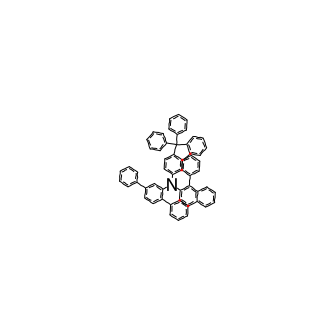 c1ccc(-c2ccc(-c3ccccc3)c(N(c3ccc4c(c3)-c3ccccc3C4(c3ccccc3)c3ccccc3)c3ccc4ccccc4c3-c3ccccc3)c2)cc1